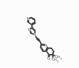 CC1(C)CCc2nc(C#Cn3cnc(-c4cccnc4)c3)ccc2C1=O